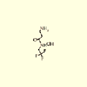 Cl.NCCC(=O)NCC(F)(F)F